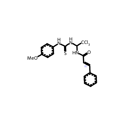 COc1ccc(NC(=S)NC(NC(=O)/C=C/c2ccccc2)C(Cl)(Cl)Cl)cc1